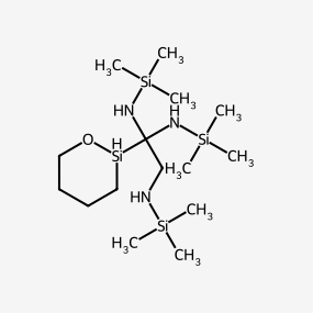 C[Si](C)(C)NCC(N[Si](C)(C)C)(N[Si](C)(C)C)[SiH]1CCCCO1